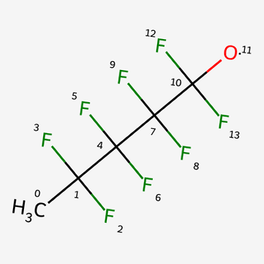 CC(F)(F)C(F)(F)C(F)(F)C([O])(F)F